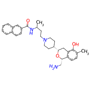 Cc1ccc2c(c1O)C[C@@H](C1CCN(CCC(C)NC(=O)c3ccc4ccccc4c3)CC1)O[C@H]2CN